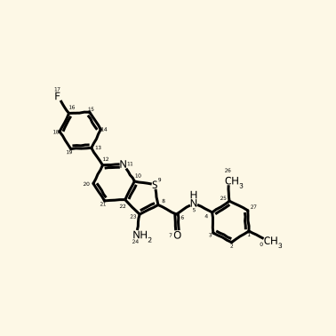 Cc1ccc(NC(=O)c2sc3nc(-c4ccc(F)cc4)ccc3c2N)c(C)c1